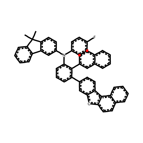 CC1(C)c2ccccc2-c2cc(N(c3ccc(F)cc3)c3cccc(-c4ccc5c(c4)oc4ccc6ccccc6c45)c3-c3ccc4ccccc4c3)ccc21